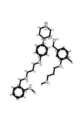 COCCCOc1cc(CO[C@H]2CNCC[C@@H]2c2ccc(OCCCOCc3ccccc3OC)cc2)ccc1C